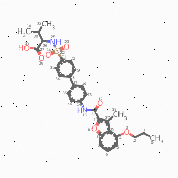 CCCOc1cccc2oc(C(=O)Nc3ccc(-c4ccc(S(=O)(=O)NC(C(=O)O)C(C)C)cc4)cc3)c(C)c12